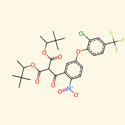 CC(OC(=O)C(C(=O)OC(C)C(C)(C)C)C(=O)c1cc(Oc2ccc(C(F)(F)F)cc2Cl)ccc1[N+](=O)[O-])C(C)(C)C